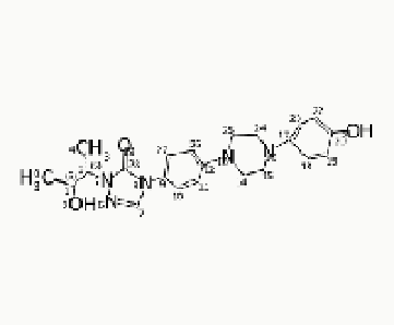 C[C@H](O)[C@H](C)n1ncn(-c2ccc(N3CCN(c4ccc(O)cc4)CC3)cc2)c1=O